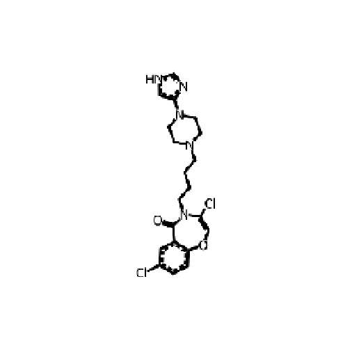 O=C1c2cc(Cl)ccc2OC=C(Cl)N1CCCCN1CCN(c2c[nH]cn2)CC1